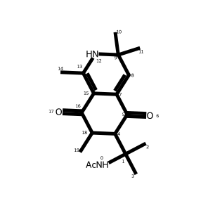 CC(=O)NC(C)(C)C1C(=O)C2=CC(C)(C)NC(C)=C2C(=O)C1C